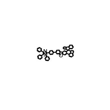 c1ccc(-c2nc(-c3ccc(-c4ccc5c(c4)oc4cc6c(cc45)C4(c5ccccc5-c5ccccc54)c4cccc5cccc-6c45)cc3)n(-c3ccccc3)c2-c2ccccc2)cc1